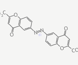 O=C(O)c1cc(=O)c2cc(/N=N/c3ccc4oc(C(=O)O)cc(=O)c4c3)ccc2o1